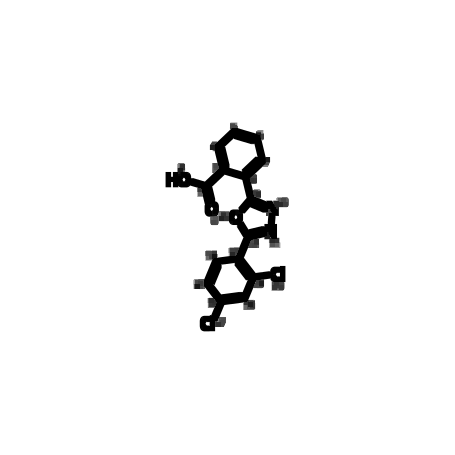 O=C(O)c1ccccc1-c1nnc(-c2ccc(Cl)cc2Cl)o1